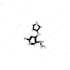 NNc1cnc(F)cc1O[C@H]1CCOC1